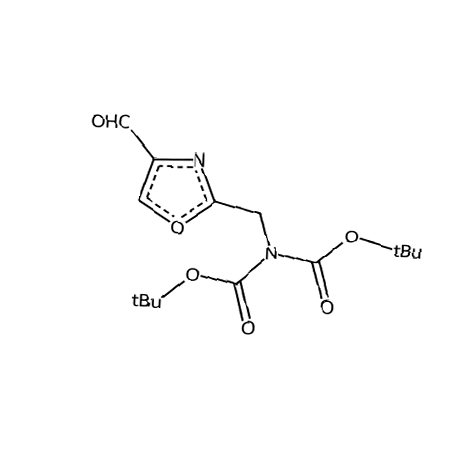 CC(C)(C)OC(=O)N(Cc1nc(C=O)co1)C(=O)OC(C)(C)C